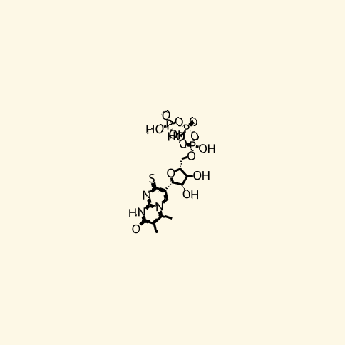 Cc1c(C)n2cc([C@@H]3O[C@H](COP(=O)(O)OP(=O)(O)OP(=O)(O)O)C(O)[C@@H]3O)c(=S)nc2[nH]c1=O